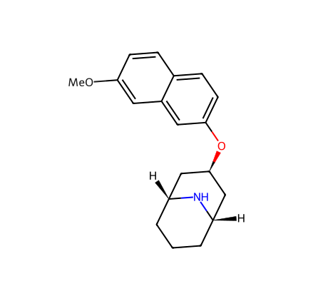 COc1ccc2ccc(O[C@@H]3C[C@H]4CCC[C@@H](C3)N4)cc2c1